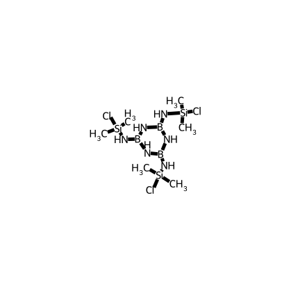 C[Si](C)(Cl)NB1NB(N[Si](C)(C)Cl)NB(N[Si](C)(C)Cl)N1